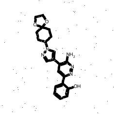 Nc1nnc(-c2ccccc2O)cc1-c1cnn(C2CCC3(CC2)OCCO3)c1